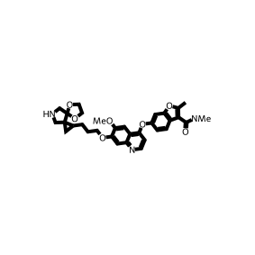 CNC(=O)c1c(C)oc2cc(Oc3ccnc4cc(OCCCC5CC56CNCC65OCCO5)c(OC)cc34)ccc12